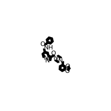 O=C(NCc1ccn2ncc(C(=O)N3CCN(Cc4cccc5c4OCO5)CC3)c2c1)c1ccccc1